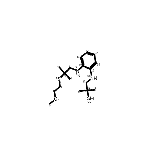 COCCSC(C)(C)CNc1ccccc1NCC(C)(C)S